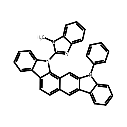 Cn1c(-n2c3ccccc3c3ccc4cc5c6ccccc6n(-c6ccccc6)c5cc4c32)nc2ccccc21